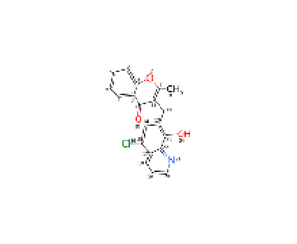 Cc1oc2ccccc2c(=O)c1Cc1cc(Cl)c2cccnc2c1O